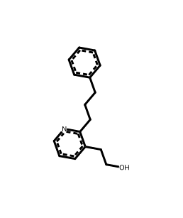 OCCc1cccnc1CCCc1ccccc1